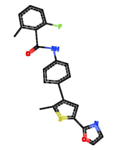 Cc1cccc(F)c1C(=O)Nc1ccc(-c2cc(-c3ncco3)sc2C)cc1